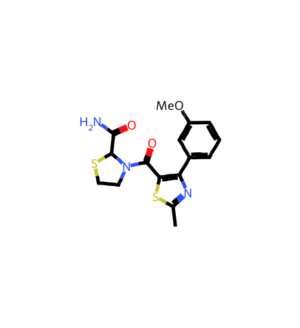 COc1cccc(-c2nc(C)sc2C(=O)N2CCSC2C(N)=O)c1